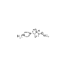 CN1CCN([C@H]2CO[C@H]3C2OC[C@@H]3O[N+](=O)[O-])CC1